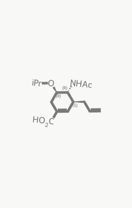 C=CC[C@H]1C=C(C(=O)O)C[C@@H](OC(C)C)[C@@H]1NC(C)=O